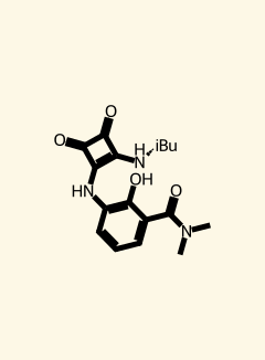 CC[C@@H](C)Nc1c(Nc2cccc(C(=O)N(C)C)c2O)c(=O)c1=O